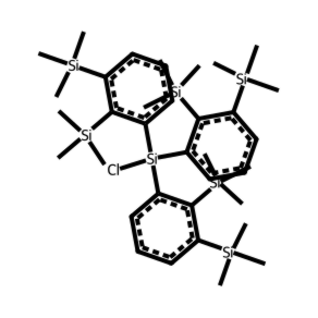 C[Si](C)(C)c1cccc([Si](Cl)(c2cccc([Si](C)(C)C)c2[Si](C)(C)C)c2cccc([Si](C)(C)C)c2[Si](C)(C)C)c1[Si](C)(C)C